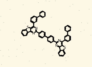 c1ccc(-c2cccc(-c3nc(-c4ccc(-c5ccc(-c6nc(-c7cccc(-c8ccccc8)c7)c7sc8ccccc8c7n6)cc5)cc4)nc4c3sc3ccccc34)c2)cc1